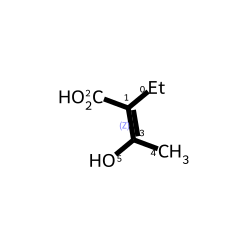 CC/C(C(=O)O)=C(\C)O